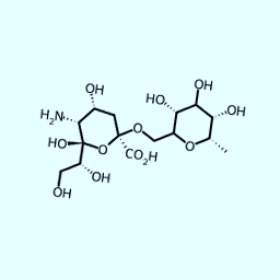 C[C@@H]1OC(CO[C@]2(C(=O)O)C[C@@H](O)[C@@H](N)[C@@](O)([C@H](O)CO)O2)[C@H](O)C(O)[C@@H]1O